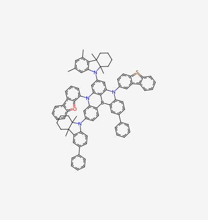 Cc1cc(C)c2c(c1)N(c1cc3c4c(c1)N(c1cccc5c1oc1ccccc15)c1cc(N5c6ccc(-c7ccccc7)cc6C6(C)CCCCC56C)ccc1B4c1cc(-c4ccccc4)ccc1N3c1ccc3sc4ccccc4c3c1)C1(C)CCCCC21C